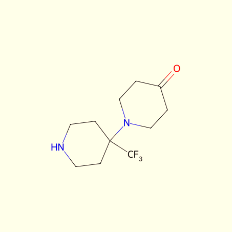 O=C1CCN(C2(C(F)(F)F)CCNCC2)CC1